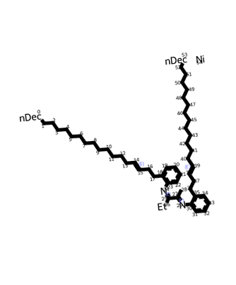 CCCCCCCCCCCCCCCCCCCCCCC/C=C/CCc1ccccc1/N=C(CC)\C(C)=N\c1ccccc1CC/C=C/CCCCCCCCCCCCCCCCCCCCCCC.[Ni]